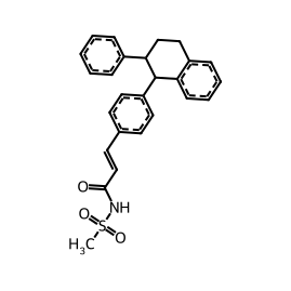 CS(=O)(=O)NC(=O)/C=C/c1ccc(C2c3ccccc3CCC2c2ccccc2)cc1